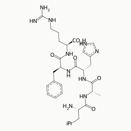 CC(C)C[C@H](N)C(=O)N[C@@H](C)C(=O)N[C@@H](Cc1c[nH]cn1)C(=O)N[C@@H](Cc1ccccc1)C(=O)N[C@@H](CCCNC(=N)N)C(=O)O